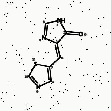 O=C1NC=NC1=Cc1cncs1